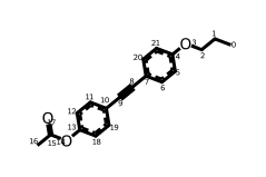 CCCOc1ccc(C#Cc2ccc(OC(C)=O)cc2)cc1